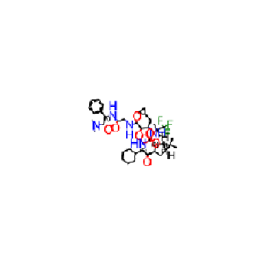 CN(C)C(=O)[C@@H](NC(=O)CNC(=O)C(=O)C(CC1CC1)NC(=O)[C@H]1C(C(=O)[C@@H](NC(=O)OC(C)(C)C(F)(F)F)C2CCCCC2)C[C@H]2[C@@H]1C2(C)C)c1ccccc1